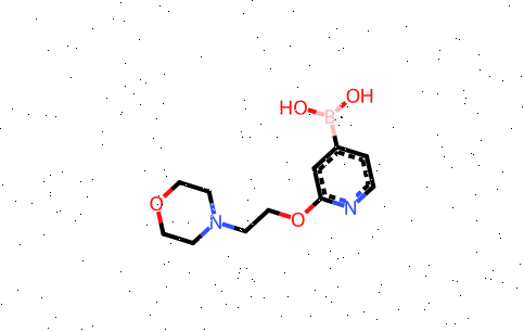 OB(O)c1ccnc(OCCN2CCOCC2)c1